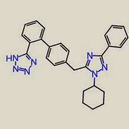 c1ccc(-c2nc(Cc3ccc(-c4ccccc4-c4nnn[nH]4)cc3)n(C3CCCCC3)n2)cc1